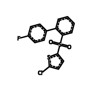 O=S(=O)(c1ccc(Cl)s1)c1ccccc1-c1ccc(F)cc1